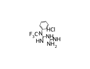 Cl.N=C(N)NC(=N)N(c1ccccc1)C(F)(F)F